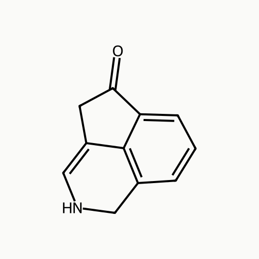 O=C1CC2=CNCc3cccc1c32